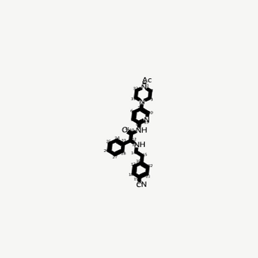 CC(=O)N1CCN(c2ccc(NC(=O)C(NCCc3ccc(C#N)cc3)c3ccccc3)nc2)CC1